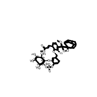 COC(=O)/C=C/c1ccc(C2(OC)OOC23C2CC4CC(C2)CC3C4)c(Cl)c1OCc1ccc(OP(=O)(O)O[C@@H]2[C@H](O)[C@H](O)[C@@H](O)[C@H](O)[C@H]2O)cc1